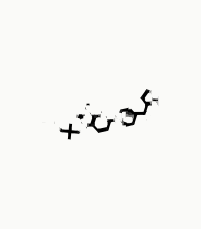 Cn1c(=O)n(CC(C)(C)CC(F)(F)F)c2ccc(N3CC4CCC3CN4C(=O)c3ccon3)nc21